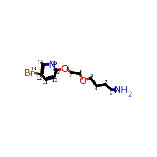 NCCCCOCCOc1ccc(Br)cn1